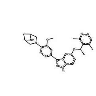 COc1cc(-c2n[nH]c3ccc(O[C@H](C)c4c(C)cnnc4C)cc23)cnc1N1CC2CC(C1)N2